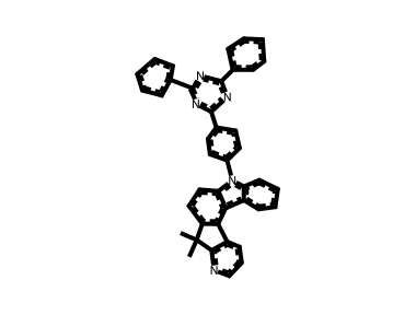 CC1(C)c2ccc3c(c2-c2cccnc21)c1ccccc1n3-c1ccc(-c2nc(-c3ccccc3)nc(-c3ccccc3)n2)cc1